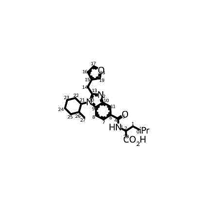 CC(C)CC(NC(=O)c1ccc2c(c1)nc(Cc1ccoc1)n2C1CCCCC1C)C(=O)O